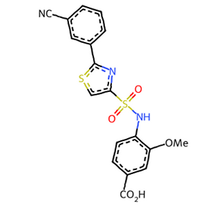 COc1cc(C(=O)O)ccc1NS(=O)(=O)c1csc(-c2cccc(C#N)c2)n1